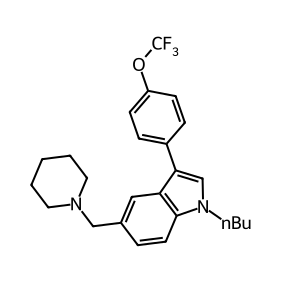 CCCCn1cc(-c2ccc(OC(F)(F)F)cc2)c2cc(CN3CCCCC3)ccc21